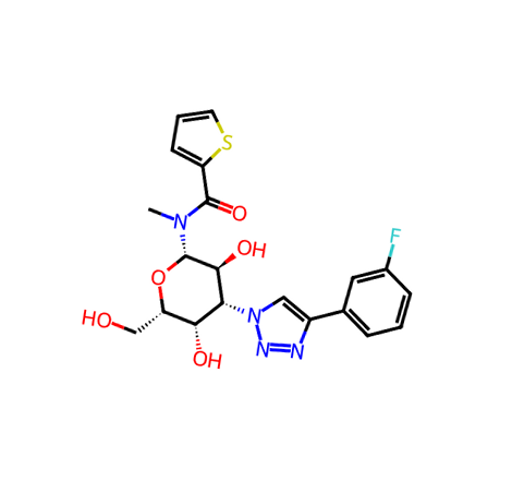 CN(C(=O)c1cccs1)[C@H]1O[C@@H](CO)[C@@H](O)[C@@H](n2cc(-c3cccc(F)c3)nn2)[C@@H]1O